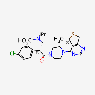 CC(C)N(C[C@H](C(=O)N1CCN(c2ncnc3c2[C@H](C)SC3)CC1)c1ccc(Cl)cc1)C(=O)O